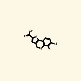 O=C(O)c1cc2c(s1)-c1ccc(Cl)c(Cl)c1SC2